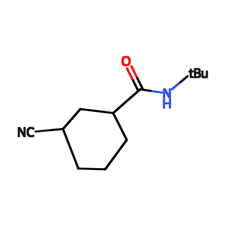 CC(C)(C)NC(=O)C1CCCC(C#N)C1